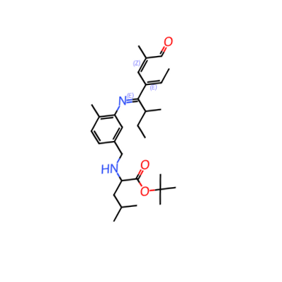 C/C=C(\C=C(\C)C=O)C(=N/c1cc(CNC(CC(C)C)C(=O)OC(C)(C)C)ccc1C)/C(C)CC